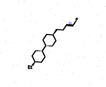 CC[C@H]1CC[C@H]([C@H]2CC[C@H](CC/C=C/F)CC2)CC1